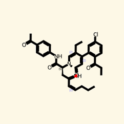 CCC/C=C\C(=N)C[C@@H](C(=O)Nc1ccc(C(C)=O)cc1)N(C)/C=C(CC)\C(=C/C=O)c1cc(Cl)ccc1C(=O)CC